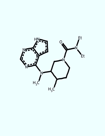 CCN(CC)C(=O)N1CCC(C)C(N(C)c2ncnc3[nH]ccc23)C1